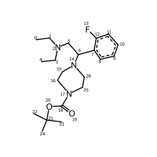 CCN(CC)CC(c1ccccc1F)N1CCN(C(=O)OC(C)(C)C)CC1